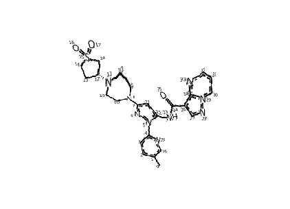 Cc1ccc(-n2nc(N3CCN([C@@H]4CCS(=O)(=O)C4)CC3)cc2NC(=O)c2cnn3cccnc23)nc1